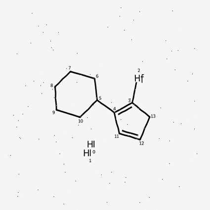 I.I.[Hf][C]1=C(C2CCCCC2)C=CC1